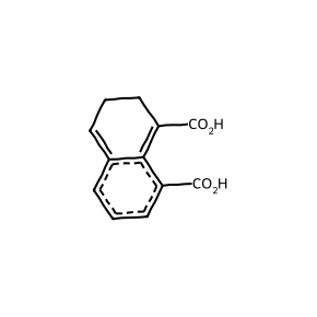 O=C(O)C1=c2c(C(=O)O)cccc2=CCC1